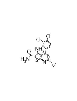 NC(=O)c1sc2nc(C3CC3)nc(-c3ccc(Cl)c(Cl)c3)c2c1N